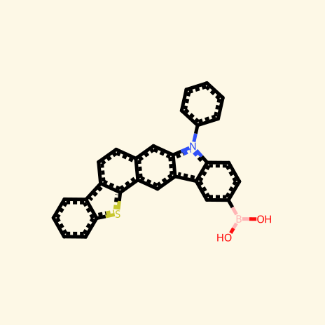 OB(O)c1ccc2c(c1)c1cc3c(ccc4c5ccccc5sc34)cc1n2-c1ccccc1